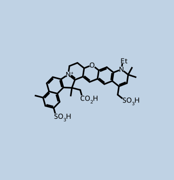 CCN1c2cc3c(cc2C(CS(=O)(=O)O)=CC1(C)C)C=C1C2=[N+](CCC1O3)c1ccc3c(C)cc(S(=O)(=O)O)cc3c1C2(C)CC(=O)O